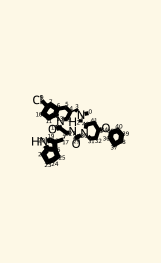 CN(C)C[C@@H]1Cc2cc(Cl)ccc2N(C(=O)[C@@H](Cc2c[nH]c3ccccc23)NC(=O)N2CCC(Oc3ccccc3)CC2)C1